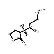 CN(CCOC=O)P(=O)(Cl)N1CCOC1=O